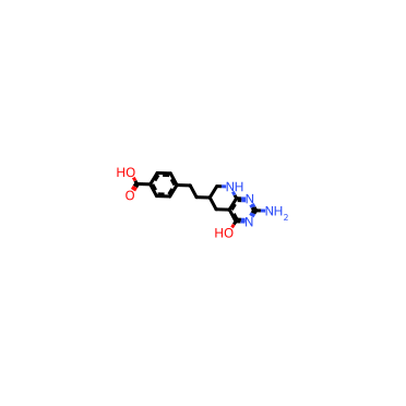 Nc1nc(O)c2c(n1)NCC(CCc1ccc(C(=O)O)cc1)C2